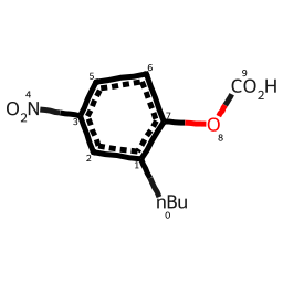 CCCCc1cc([N+](=O)[O-])ccc1OC(=O)O